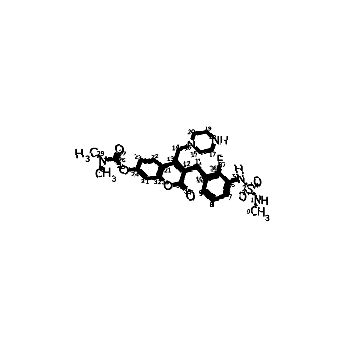 CNS(=O)(=O)Nc1cccc(Cc2c(CN3CCNCC3)c3ccc(OC(=O)N(C)C)cc3oc2=O)c1F